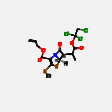 C=CCOC(=O)C1=C(SCC)S[C@@H]2[C@H](C(C)C(=O)OC(Cl)(Cl)CCl)C(=O)N12